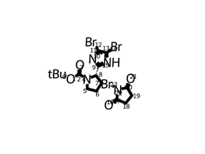 CC(C)(C)OC(=O)N1CCC[C@H]1c1nc(Br)c(Br)[nH]1.O=C1CCC(=O)N1Br